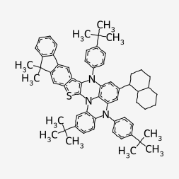 CC(C)(C)c1ccc(N2c3ccc(C(C)(C)C)cc3N3c4sc5cc6c(cc5c4N(c4ccc(C(C)(C)C)cc4)c4cc(C5CCCC7CCCCC75)cc2c43)-c2ccccc2C6(C)C)cc1